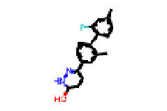 Cc1ccc(-c2ccc(C3=NNC(O)CC3)cc2C)c(F)c1